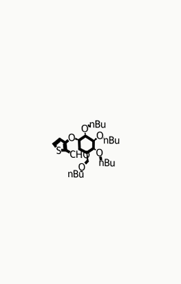 CCCCOC[C@H]1C[C@@H](Oc2ccsc2C=O)[C@H](OCCCC)[C@@H](OCCCC)[C@@H]1OCCCC